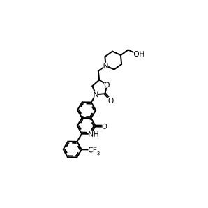 O=C1OC(CN2CCC(CO)CC2)CN1c1ccc2cc(-c3ccccc3C(F)(F)F)[nH]c(=O)c2c1